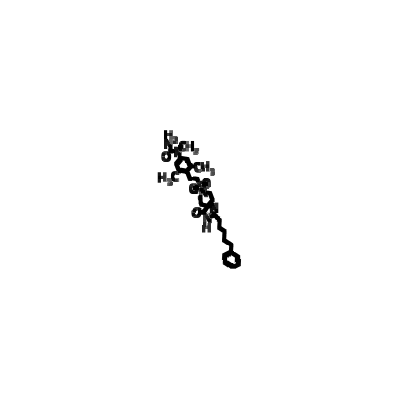 Cc1cc(N(C)C(N)=O)cc(C)c1CCS(=O)(=O)N1CCC2(CC1)N=C(CCCCCc1ccccc1)NC2=O